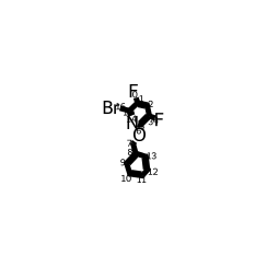 Fc1cc(F)c(OCc2ccccc2)nc1Br